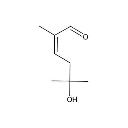 CC(C=O)=CCC(C)(C)O